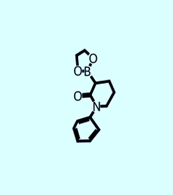 O=C1C(B2OCCO2)CCCN1c1ccccc1